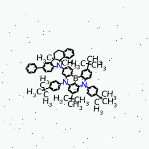 CC(C)(C)c1ccc(N2c3ccc(C(C)(C)C)cc3B3c4ccc(N5c6ccc(-c7ccccc7)cc6C6(C)CCc7ccccc7C56C)cc4N(c4ccc(C(C)(C)C)cc4)c4cc(C(C)(C)C)cc2c43)cc1